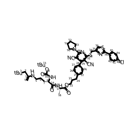 C=C(CC(C)(C)C)NCCC[C@H](NC(=O)OC(C)(C)C)C(=O)N[C@@H](C)C(=O)OCCCc1ccc(-c2c(C#N)c(SCc3csc(-c4ccc(Cl)cc4)n3)nc(N3CCCC3)c2C#N)cc1